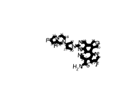 N#Cc1c(N)sc2c(F)cnc(-c3c4c(c5cnc(N6CC[C@H](N7CCN8C[C@@H](F)C[C@H]8C7)C6)nc5c3F)COC4)c12